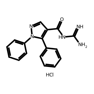 Cl.N=C(N)NC(=O)c1cnn(-c2ccccc2)c1-c1ccccc1